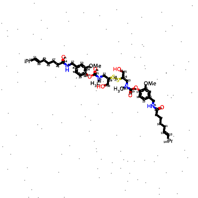 COc1cc(CNC(=O)CCCC/C=C/C(C)C)ccc1OC(=O)N(C)CC(CO)SSC(CO)CN(C)C(=O)Oc1ccc(CNC(=O)CCCC/C=C/C(C)C)cc1OC